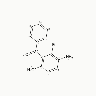 CCc1c(N)ccc(C)c1C(=O)c1ccccc1